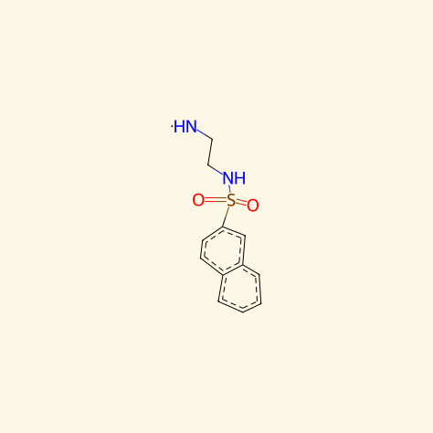 [NH]CCNS(=O)(=O)c1ccc2ccccc2c1